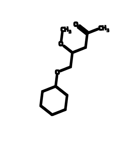 COC(COC1CCCCC1)CC(C)=O